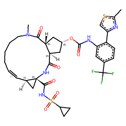 Cc1nc(-c2ccc(C(F)(F)F)cc2NC(=O)O[C@@H]2C[C@H]3C(=O)N[C@]4(C(=O)NS(=O)(=O)C5CC5)C[C@H]4/C=C\CCCCN(C)C(=O)[C@@H]3C2)cs1